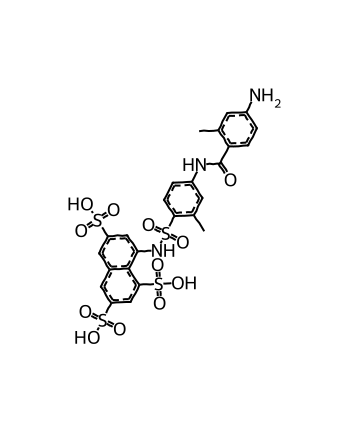 Cc1cc(N)ccc1C(=O)Nc1ccc(S(=O)(=O)Nc2cc(S(=O)(=O)O)cc3cc(S(=O)(=O)O)cc(S(=O)(=O)O)c23)c(C)c1